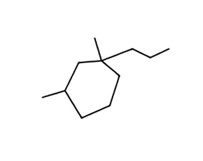 CCCC1(C)CCCC(C)C1